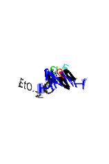 CCOC(=O)c1cnc(Cl)nc1Nc1cccc(C(=O)Nc2cccc(F)c2)c1